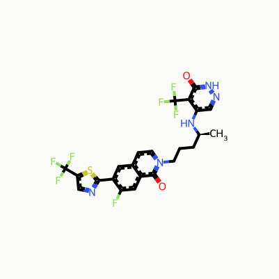 C[C@@H](CCCn1ccc2cc(-c3ncc(C(F)(F)F)s3)c(F)cc2c1=O)Nc1cn[nH]c(=O)c1C(F)(F)F